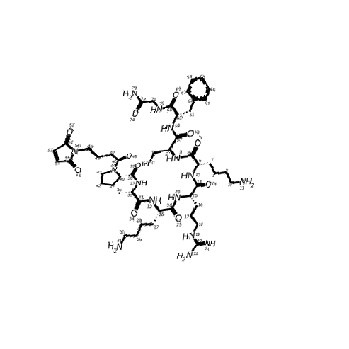 CC(C)C[C@H](NC(=O)[C@H](CCCCN)NC(=O)[C@H](CCCNC(=N)N)NC(=O)[C@H](CCCCN)NC(=O)[C@H](C)NC(=O)[C@@H]1CCCN1C(=O)CCCN1C(=O)C=CC1=O)C(=O)N[C@@H](Cc1ccccc1)C(=O)NCC(N)=O